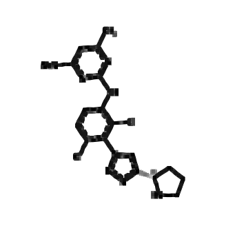 CNc1cc(C)nc(Nc2ccc(Cl)c(-n3cc([C@@H]4CCCN4)nn3)c2Cl)n1